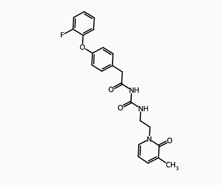 Cc1cccn(CCNC(=O)NC(=O)Cc2ccc(Oc3ccccc3F)cc2)c1=O